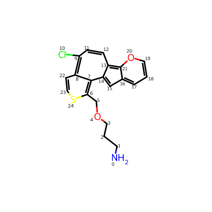 NCCCOCC1=c2c(c(Cl)ccc3c2cc2cccoc23)C=CS1